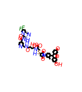 Cc1cc(N2C(=O)CC(SCC(NC(=O)CCC(=O)NCc3cc(C(=O)N[C@@H](C)C(=O)N4CC(F)(F)C[C@H]4C#N)ccn3)C(=O)O)C2=O)ccc1C1c2ccc(O)cc2OC2=CC(=O)C=CC21